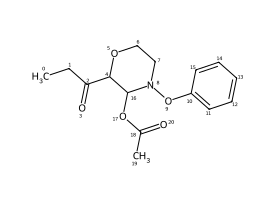 CCC(=O)C1OCCN(Oc2ccccc2)C1OC(C)=O